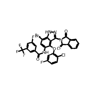 O=C(Nc1cc(Br)c2[nH]nc(N3C(=O)c4ccccc4C3=O)c2c1Oc1cc(F)ccc1Cl)c1cc(F)cc(C(F)(F)F)c1